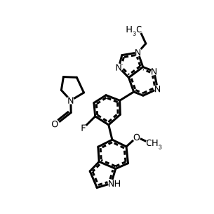 CCn1cnc2c(-c3ccc(F)c(-c4cc5cc[nH]c5cc4OC)c3)cnnc21.O=CN1CCCC1